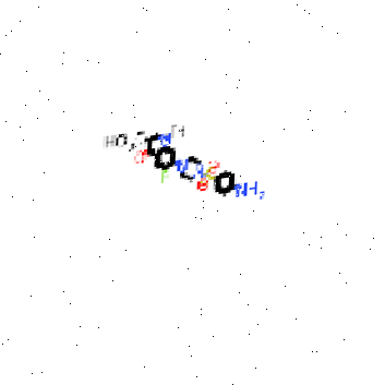 CCn1cc(C(=O)O)c(=O)c2cc(F)c(N3CCN(S(=O)(=O)c4ccc(N)cc4)CC3)cc21